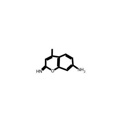 Cc1cc(=N)oc2cc(N)ccc12